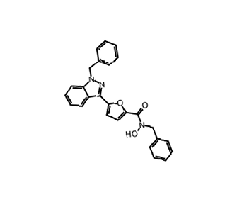 O=C(c1ccc(-c2nn(Cc3ccccc3)c3ccccc23)o1)N(O)Cc1ccccc1